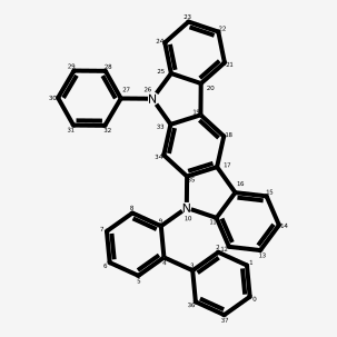 c1ccc(-c2ccccc2-n2c3ccccc3c3cc4c5ccccc5n(-c5ccccc5)c4cc32)cc1